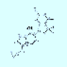 Cc1c(OCC2(c3ccc(F)cc3F)CC2)ccn2c(CC3CC3)nnc12